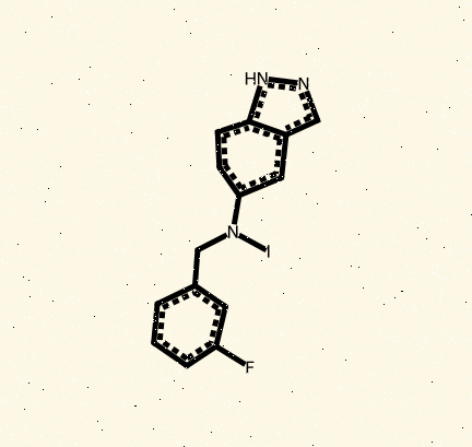 Fc1cccc(CN(I)c2ccc3[nH]ncc3c2)c1